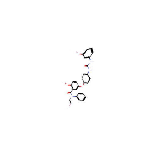 O=C(Nc1cccc(OC(F)(F)F)c1)NC1CCC(Oc2ccc(OC(F)(F)F)c(C(=O)N(CCO)c3ccccc3)c2)CC1